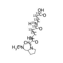 C[15N](C)CC1CCCN1C[13C](=O)N[13CH2][13CH2][13C](=O)[15NH][13CH2][13CH2][13C](=O)O